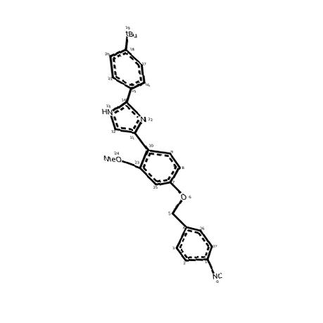 [C-]#[N+]c1ccc(COc2ccc(-c3c[nH]c(-c4ccc(C(C)(C)C)cc4)n3)c(OC)c2)cc1